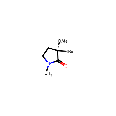 CO[C@@]1(C(C)(C)C)CCN(C)C1=O